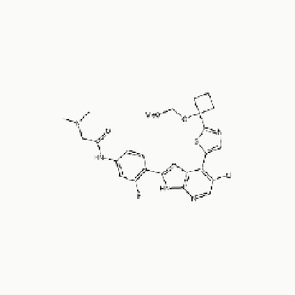 COCOC1(c2ncc(-c3c(Cl)cnc4[nH]c(-c5ccc(NC(=O)CN(C)C)cc5F)cc34)s2)CCC1